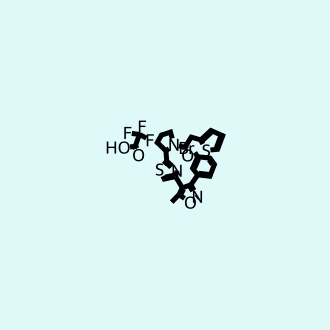 Cc1onc(-c2cccc(Br)c2)c1-c1csc(C2CCCN2C(=O)Cc2cccs2)n1.O=C(O)C(F)(F)F